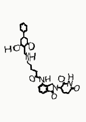 O=C1CCC(N2Cc3c(NC(=O)CCCCN/C=C4\C(=O)CC(c5ccccc5)CC4O)cccc3C2=O)C(=O)N1